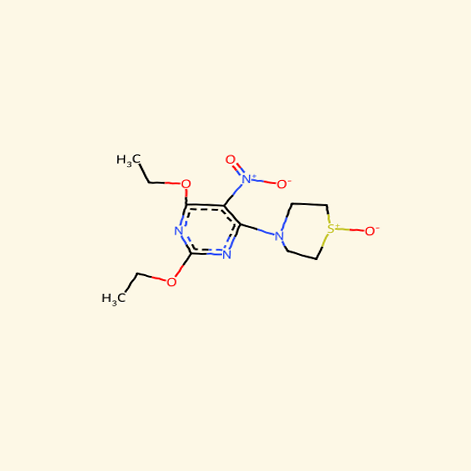 CCOc1nc(OCC)c([N+](=O)[O-])c(N2CC[S+]([O-])CC2)n1